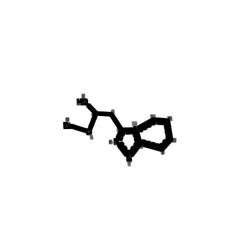 CCOC(O)Cc1nnc2ccccn12